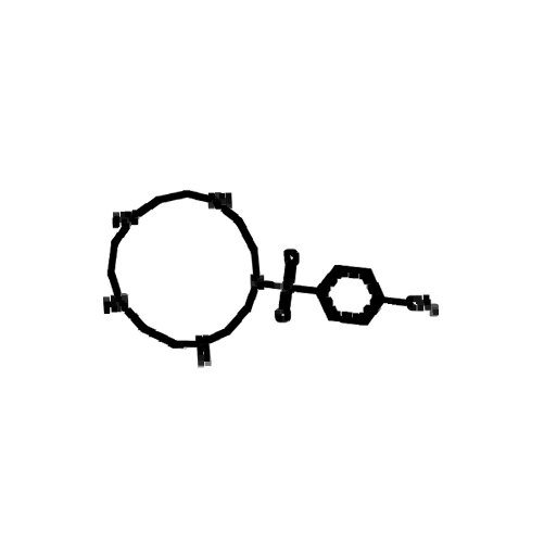 Cc1ccc(S(=O)(=O)N2CCNCCNCCNCCNCC2)cc1